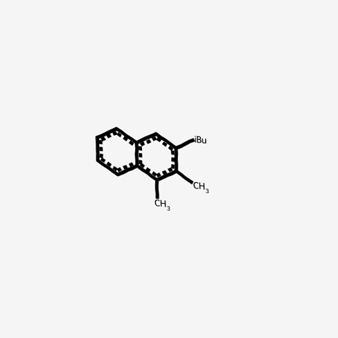 CCC(C)c1cc2ccccc2c(C)c1C